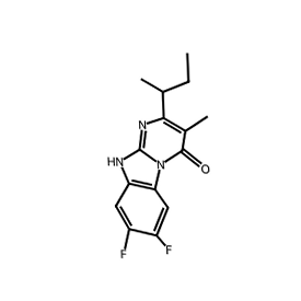 CCC(C)c1nc2[nH]c3cc(F)c(F)cc3n2c(=O)c1C